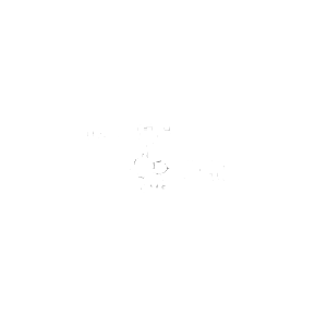 COC(=O)c1sc(C2CCC(C)(C)CC2)cc1N(C(=O)C1CCC(C)CC1)C(CO)CO